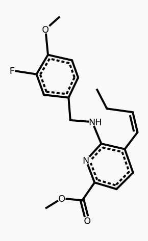 CC/C=C\c1ccc(C(=O)OC)nc1NCc1ccc(OC)c(F)c1